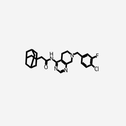 O=C(CC12CC3CC(CC(C3)C1)C2)Nc1ncnc2c1CCN(Cc1ccc(Cl)c(F)c1)C2